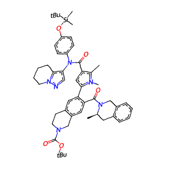 Cc1c(C(=O)N(c2ccc(O[Si](C)(C)C(C)(C)C)cc2)c2cnn3c2CCCC3)cc(-c2cc3c(cc2C(=O)N2Cc4ccccc4C[C@H]2C)CN(C(=O)OC(C)(C)C)CC3)n1C